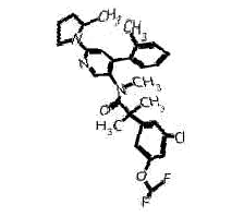 Cc1ccccc1-c1cc(N2CCCC2C)ncc1N(C)C(=O)C(C)(C)c1cc(Cl)cc(OC(F)F)c1